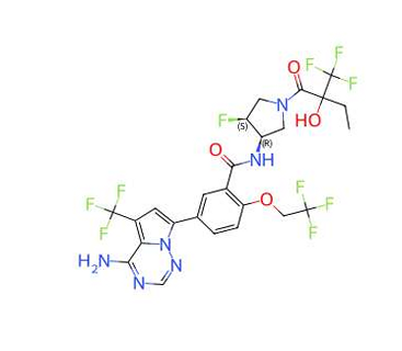 CCC(O)(C(=O)N1C[C@H](F)[C@H](NC(=O)c2cc(-c3cc(C(F)(F)F)c4c(N)ncnn34)ccc2OCC(F)(F)F)C1)C(F)(F)F